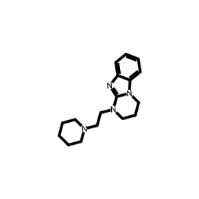 c1ccc2c(c1)nc1n2CCCN1CCN1CCCCC1